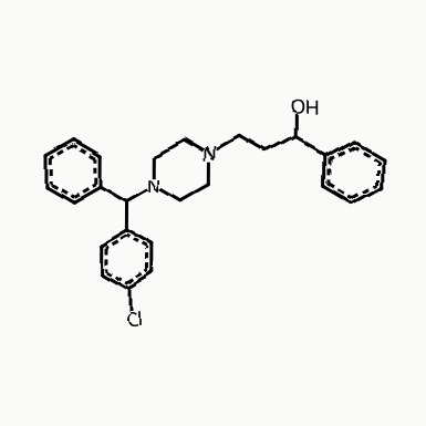 OC(CCN1CCN(C(c2ccccc2)c2ccc(Cl)cc2)CC1)c1ccccc1